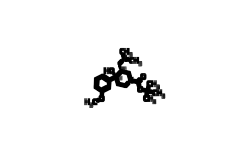 COc1cccc([C@]2(O)CCN(C(=O)OC(C)(C)C)C[C@H]2CN(C)C)c1